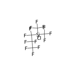 FC(F)(F)C(F)(F)C(F)(F)[Si](Cl)(C(F)(F)F)C(F)(F)F